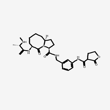 C=C(N[C@H]1CCCC[C@H]2CC[C@@H](C(=O)NCc3cccc(NC(=O)C4CCOC4=O)c3)N2C1=O)[C@H](C)NC